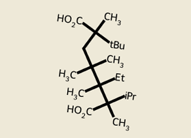 CCC(C)(C(C)(C)CC(C)(C(=O)O)C(C)(C)C)C(C)(C(=O)O)C(C)C